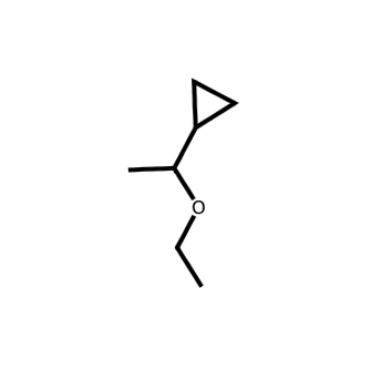 CCO[C](C)C1CC1